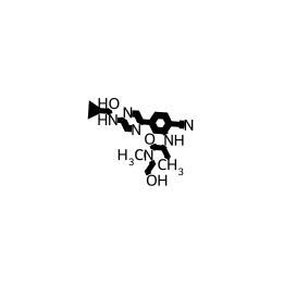 CCC(Nc1cc(-c2cnc(NC(O)C3CC3)cn2)ccc1C#N)C(=O)N(C)CCO